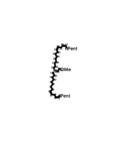 CCCCC/C=C\C/C=C\CCCCCCCCN(CCCCCCCC/C=C\C/C=C\CCCCC)CCOC